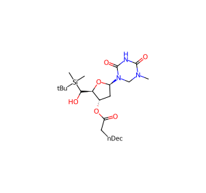 CCCCCCCCCCCC(=O)O[C@H]1C[C@H](N2CN(C)C(=O)NC2=O)O[C@@H]1C(O)[Si](C)(C)C(C)(C)C